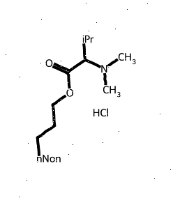 CCCCCCCCCCCCOC(=O)C(C(C)C)N(C)C.Cl